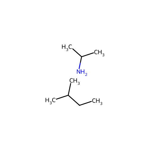 CC(C)N.CCC(C)C